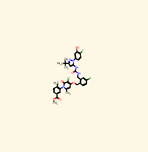 COC(=O)c1ccc(C)c(-n2c(C)cc(OCc3ccc(F)cc3CNC(=O)Nc3cc(C(C)(C)C)nn3-c3ccc(Cl)c(O)c3)c(Cl)c2=O)c1